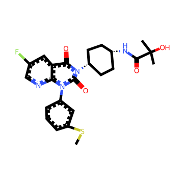 CSc1cccc(-n2c(=O)n([C@H]3CC[C@@H](NC(=O)C(C)(C)O)CC3)c(=O)c3cc(F)cnc32)c1